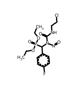 CCOP(=O)(OCC)C(c1ccc(F)cc1)N(N=O)C(=O)NCCCl